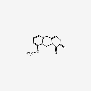 O=C(O)OC1=CC=CN2CC3=CCC(=O)C(=O)C3CN12